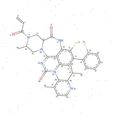 C=CC(=O)N1CC2C(=O)Nc3c(F)c(-c4ccccc4F)c(F)c4c3c(nc(=O)n4-c3c(C)ccnc3C(C)C)N2CC1C